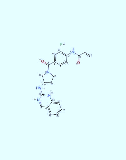 C=CC(=O)Nc1ccc(C(=O)N2CC[C@H](Nc3ncc4ccccc4n3)C2)cc1F